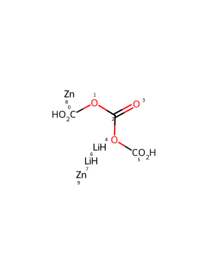 O=C(O)OC(=O)OC(=O)O.[LiH].[LiH].[Zn].[Zn]